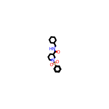 O=C(NCC1CCCCC1)C1CCCN(S(=O)(=O)c2ccccc2)C1